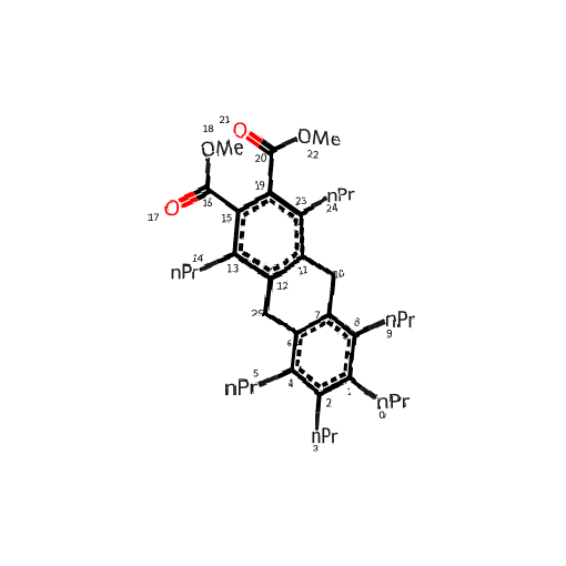 CCCc1c(CCC)c(CCC)c2c(c1CCC)Cc1c(c(CCC)c(C(=O)OC)c(C(=O)OC)c1CCC)C2